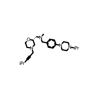 CC(C)C#CCN1CCO[C@H](CN(C)Cc2ccc(N3CCN(C(C)C)CC3)cc2)C1